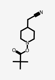 CC(C)(C)C(=O)ON1CCC(CC#N)CC1